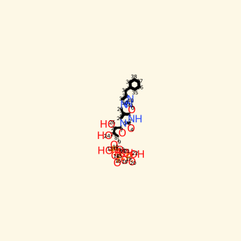 O=c1[nH]c(=O)n([C@@H]2O[C@H](COP(=O)(O)OP(=O)(O)OP(=O)(O)O)C(O)[C@@H]2O)cc1Cn1cc(Cc2ccccc2)nn1